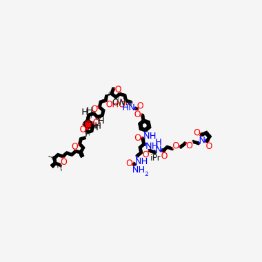 C=C1CC(CC[C@]23C[C@H]4OC5(O2)C2[C@@H](O[C@H]6CCC(CC(=O)C[C@H]7COC(CC(O)CNC(=O)OCc8ccc(NC(=O)C(CCCNC(N)=O)NC(=O)[C@@H](NC(=O)CCOCCOCCN9C(=O)C=CC9=O)C(C)C)cc8)[C@@H]7OC)O[C@@H]6[C@@H]2O3)C45)OC1CCC1C[C@@H](C)C(=C)[C@@H](C)O1